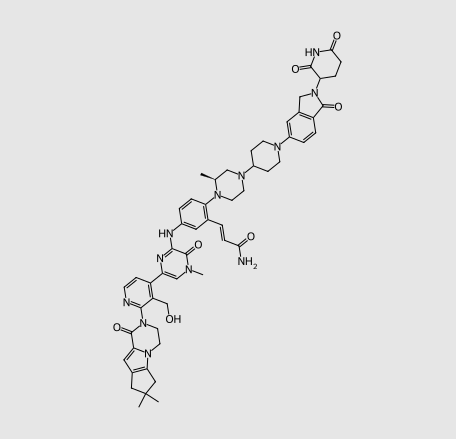 C[C@H]1CN(C2CCN(c3ccc4c(c3)CN(C3CCC(=O)NC3=O)C4=O)CC2)CCN1c1ccc(Nc2nc(-c3ccnc(N4CCn5c(cc6c5CC(C)(C)C6)C4=O)c3CO)cn(C)c2=O)cc1C=CC(N)=O